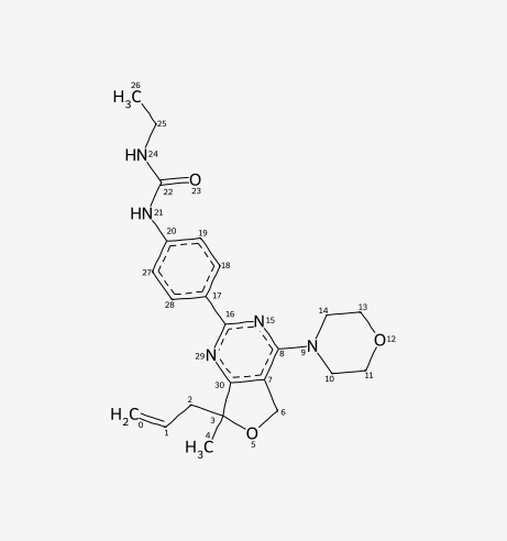 C=CCC1(C)OCc2c(N3CCOCC3)nc(-c3ccc(NC(=O)NCC)cc3)nc21